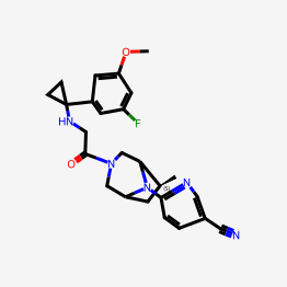 COc1cc(F)cc(C2(NCC(=O)N3CC4C[C@H](C)C(C3)N4c3ccc(C#N)cn3)CC2)c1